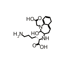 NCCCC[C@H](NC1CC=C2CC=CC=C2N(CC(=O)O)C1O)C(=O)O